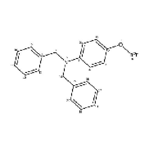 CCCOc1ccc(N(Cc2ccccc2)Cc2ccccc2)cc1